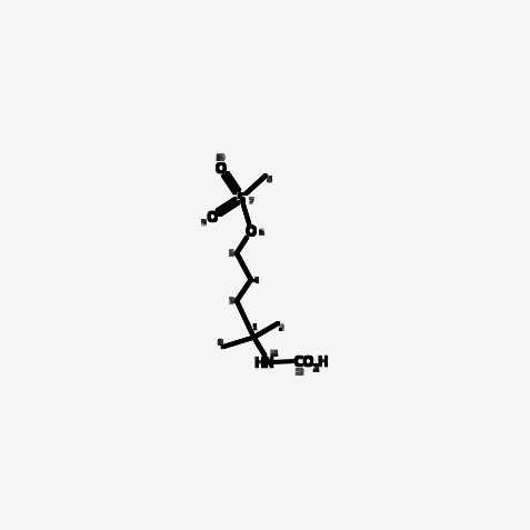 CC(C)(CCCOS(C)(=O)=O)NC(=O)O